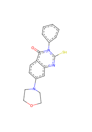 O=c1c2ccc(N3CCOCC3)cc2nc(S)n1-c1ccccc1